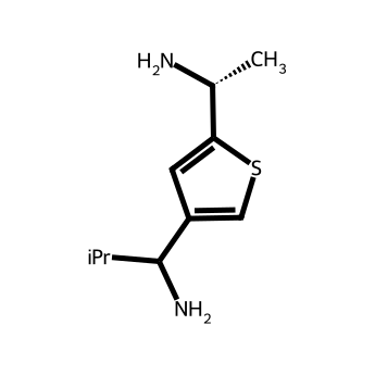 CC(C)C(N)c1csc([C@@H](C)N)c1